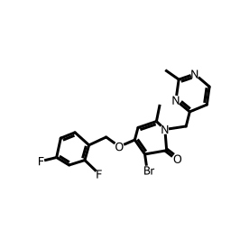 Cc1nccc(Cn2c(C)cc(OCc3ccc(F)cc3F)c(Br)c2=O)n1